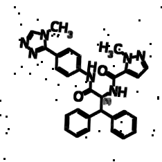 Cn1cnnc1-c1ccc(NC(=O)[C@@H](NC(=O)c2ccnn2C)C(c2ccccc2)c2ccccc2)cc1